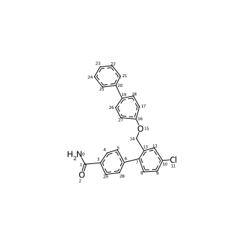 NC(=O)c1ccc(-c2ccc(Cl)cc2COc2ccc(-c3[c]cccc3)cc2)cc1